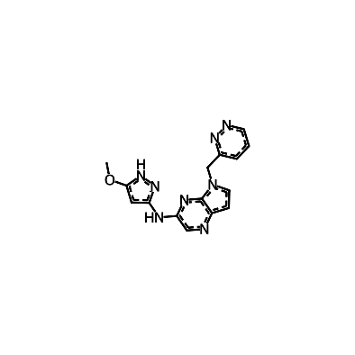 COc1cc(Nc2cnc3ccn(Cc4cccnn4)c3n2)n[nH]1